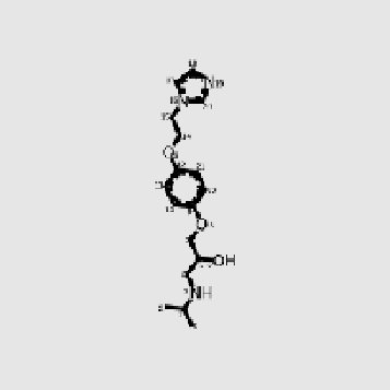 CC(C)NCC(O)COc1ccc(OCCn2ccnc2)cc1